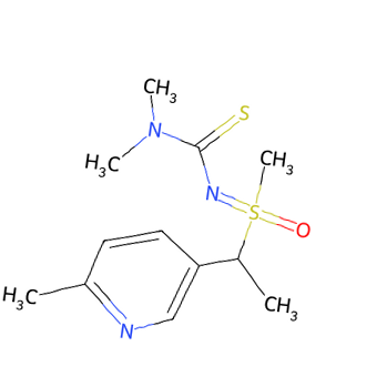 Cc1ccc(C(C)S(C)(=O)=NC(=S)N(C)C)cn1